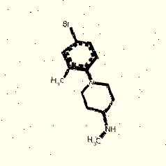 CNC1CCN(c2ccc(Br)cc2C)CC1